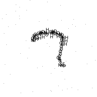 CN(C)[C@H]1CN(C2CCc3cccc(F)c32)C[C@@H]1c1ccc(N2CCN(C(=O)COCCOCCOCCOCCOCCNC(=O)CCNC(=O)Cc3nc(NC(=O)c4cc(NC(=O)CCNC(=O)c5nc(NC(=O)CCCNC(=O)c6cc(NC(=O)c7nc(NC(=O)CCNC(=O)c8cc(NC(=O)c9nccn9C)cn8C)cn7C)cn6C)cn5C)cn4C)c[nH]3)CC2)cc1